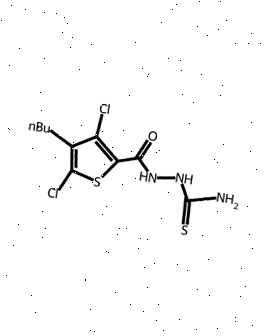 CCCCc1c(Cl)sc(C(=O)NNC(N)=S)c1Cl